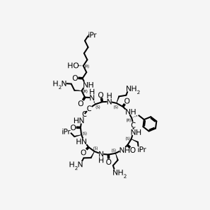 CC(C)CCCC[C@@H](O)CC(=O)N[C@H](CCN)C(=O)N[C@H]1CCNC(=O)[C@H](CC(C)C)NC(=O)[C@H](CCN)NC(=O)[C@H](CCN)NC(=O)[C@H](CC(C)C)NC[C@@H](Cc2ccccc2)NC(=O)[C@H](CCN)NC1=O